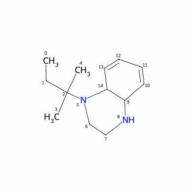 CCC(C)(C)N1CCNC2C=CC=CC21